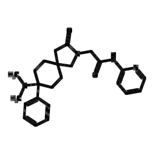 CN(C)C1(c2ccccc2)CCC2(CC1)CC(=O)N(CC(=O)Nc1ccccn1)C2